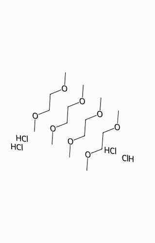 COCCOC.COCCOC.COCCOC.COCCOC.Cl.Cl.Cl.Cl